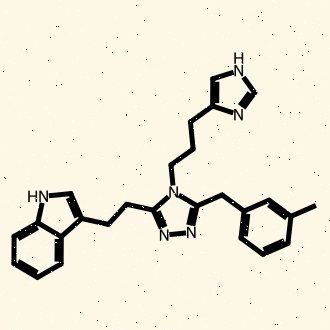 Cc1cccc(Cc2nnc(CCc3c[nH]c4ccccc34)n2CCCc2c[nH]cn2)c1